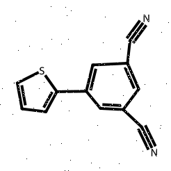 N#Cc1cc(C#N)cc(-c2cc[c]s2)c1